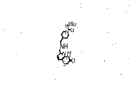 CC(C)(C)OC(=O)N1CCC(CNCc2ccc3c(n2)NC(=O)CS3)CC1